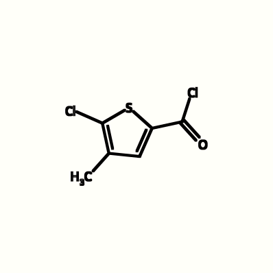 Cc1cc(C(=O)Cl)sc1Cl